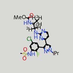 [2H]C([2H])([2H])[C@H](NC(=O)OC)C([2H])([2H])Nc1nccc(-c2cn(C(C)C)nc2-c2cc(Cl)cc(NS(C)(=O)=O)c2F)n1